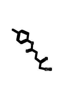 Cc1ccc(OC(=O)CCC(=O)CC=O)cc1